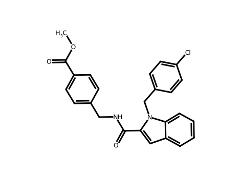 COC(=O)c1ccc(CNC(=O)c2cc3ccccc3n2Cc2ccc(Cl)cc2)cc1